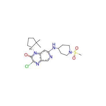 CC1(C)CCC[C@H]1n1c(=O)c(Cl)nc2cnc(NC3CCN(S(C)(=O)=O)CC3)cc21